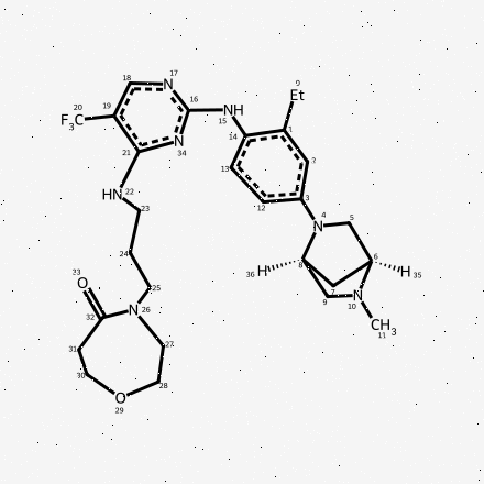 CCc1cc(N2C[C@@H]3C[C@H]2CN3C)ccc1Nc1ncc(C(F)(F)F)c(NCCCN2CCOCCC2=O)n1